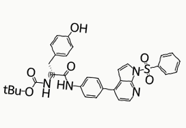 CC(C)(C)OC(=O)N[C@H](Cc1ccc(O)cc1)C(=O)Nc1ccc(-c2ccnc3c2ccn3S(=O)(=O)c2ccccc2)cc1